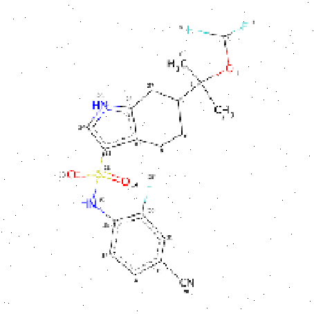 CC(C)(OC(F)F)C1CCc2c(S(=O)(=O)Nc3ccc(C#N)cc3F)c[nH]c2C1